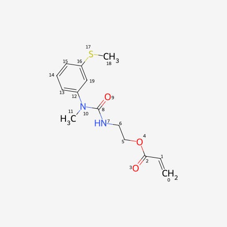 C=CC(=O)OCCNC(=O)N(C)c1cccc(SC)c1